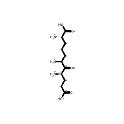 NC(CCC[C@H](N)C(=O)O)C(=O)[C@H](N)CCC(=O)O